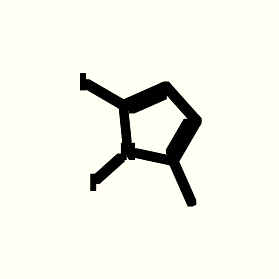 Cc1ccc(I)n1I